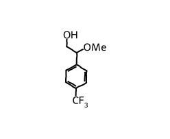 COC(CO)c1ccc(C(F)(F)F)cc1